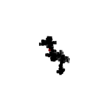 CC(C)[C@H](NC(=O)CCCCCN1C(=O)C=CC1=O)C(=O)N[C@@H](C)C(=O)Nc1cc2c(c3ccccc13)C(CCl)CN2C(=O)C12CC(C(=O)N3C[C@@H](CCl)c4c3cc(OP(=O)(O)O)c3ccccc43)(C1)C2